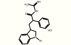 CC(=O)N1CC(CC(C(=O)NC(=N)N)c2ccccc2)c2ccccc21.Cl